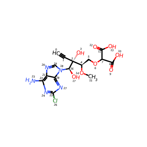 C#C[C@@](O)([C@@H](COC(C(=O)O)C(=O)O)OC)[C@@H](O)n1cnc2c(N)nc(Cl)nc21